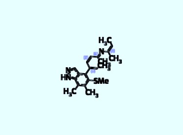 C\C=C(C)/N=C(C)/C=C\C(=C/C)c1c(SC)c(C)c(C)c2[nH]ncc12